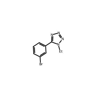 CCn1nnnc1-c1cccc(Br)c1